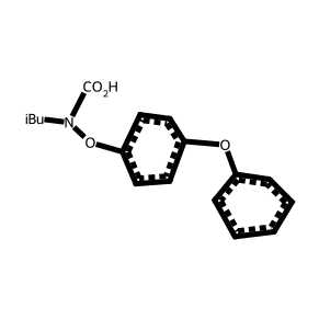 CCC(C)N(Oc1ccc(Oc2ccccc2)cc1)C(=O)O